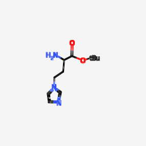 CC(C)(C)OC(=O)C(N)CCn1ccnc1